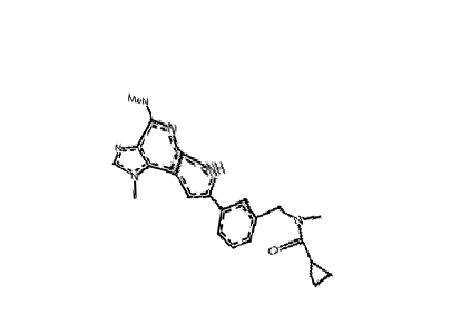 CNc1nc2[nH]c(-c3cccc(CN(C)C(=O)C4CC4)c3)cc2c2c1ncn2C